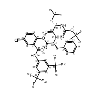 CC(C)C[C@H](NC(=O)OC(C)(C)C)C(=O)N[C@@H](Cc1ccccc1)C(=O)Oc1ccc(Cl)cc1C(=O)Nc1cc(C(F)(F)F)cc(C(F)(F)F)c1